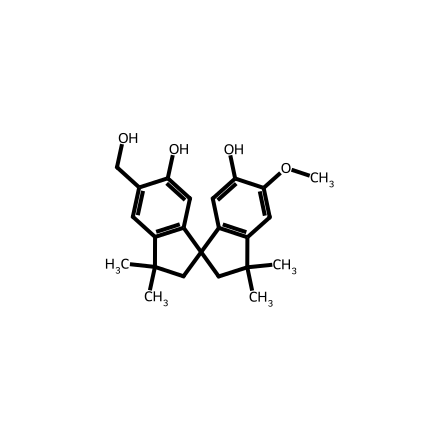 COc1cc2c(cc1O)C1(CC(C)(C)c3cc(CO)c(O)cc31)CC2(C)C